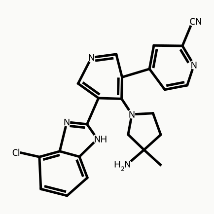 CC1(N)CCN(c2c(-c3ccnc(C#N)c3)cncc2-c2nc3c(Cl)cccc3[nH]2)C1